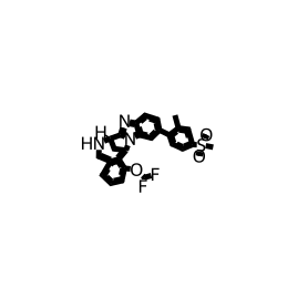 Cc1cc(S(C)(=O)=O)ccc1-c1ccc2nc3n(c2c1)C1=c2c(OC(F)F)cccc2=CN[C@@H]3C1